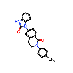 O=C1c2ccc(-n3c(=O)[nH]c4ccccc43)cc2CCN1c1ccc(C(F)(F)F)cc1